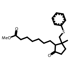 COC(=O)CCCCCCC1C(=O)CCC1(C)CSc1ccccc1